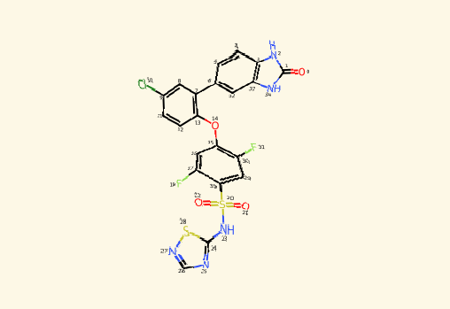 O=c1[nH]c2ccc(-c3cc(Cl)ccc3Oc3cc(F)c(S(=O)(=O)Nc4ncns4)cc3F)cc2[nH]1